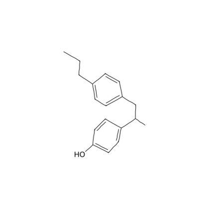 CCCc1ccc(CC(C)c2ccc(O)cc2)cc1